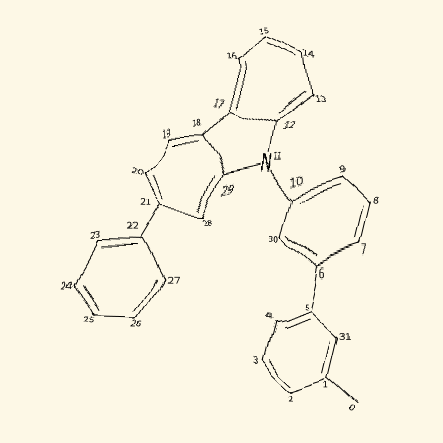 Cc1cccc(-c2cccc(-n3c4ccccc4c4ccc(-c5ccccc5)cc43)c2)c1